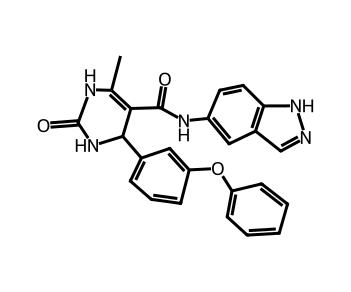 CC1=C(C(=O)Nc2ccc3[nH]ncc3c2)C(c2cccc(Oc3ccccc3)c2)NC(=O)N1